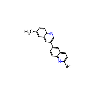 Cc1ccc2ncc(-c3ccc4nc(C(C)C)ccc4c3)cc2c1